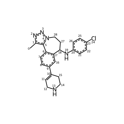 Cc1nnn2c1-c1ccc(C3=CCNCC3)cc1C(Nc1ccc(Cl)cc1)CC2